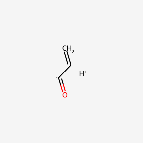 C=C[C]=O.[H+]